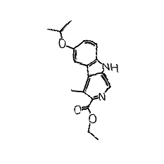 CCOC(=O)c1ncc2[nH]c3ccc(OC(C)C)cc3c2c1C